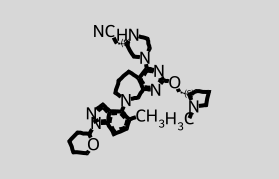 Cc1ccc2c(cnn2C2CCCCO2)c1N1CCCc2c(nc(OC[C@@H]3CCCN3C)nc2N2CCN[C@@H](CC#N)C2)C1